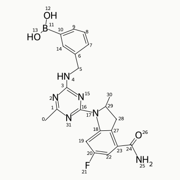 Cc1nc(NCc2cccc(B(O)O)c2)nc(N2c3cc(F)cc(C(N)=O)c3CC2C)n1